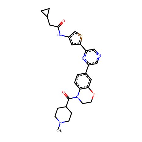 CN1CCC(C(=O)N2CCOc3cc(-c4cncc(-c5cc(NC(=O)CC6CC6)cs5)n4)ccc32)CC1